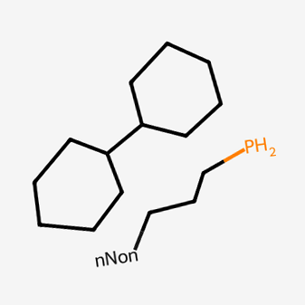 C1CCC(C2CCCCC2)CC1.CCCCCCCCCCCCP